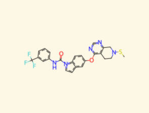 CSN1CCc2c(ncnc2Oc2ccc3c(ccn3C(=O)Nc3cccc(C(F)(F)F)c3)c2)C1